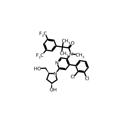 CN(C(=O)C(C)(C)c1cc(C(F)(F)F)cc(C(F)(F)F)c1)c1cnc(N2C[C@@H](O)C[C@H]2CO)cc1-c1cccc(Cl)c1Cl